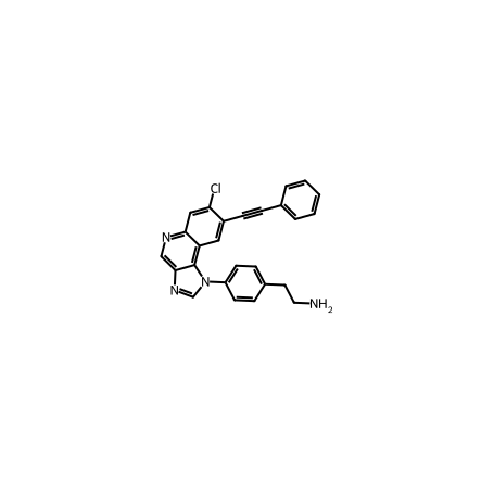 NCCc1ccc(-n2cnc3cnc4cc(Cl)c(C#Cc5ccccc5)cc4c32)cc1